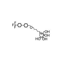 OC[C@H]1[C@@H](O)[C@H](O)[C@@H](O)CN1CCCCCOCc1ccc(-c2ccc(C(F)(F)F)cc2)cc1